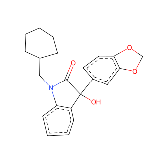 O=C1N(CC2CCCCC2)c2ccccc2C1(O)c1ccc2c(c1)OCO2